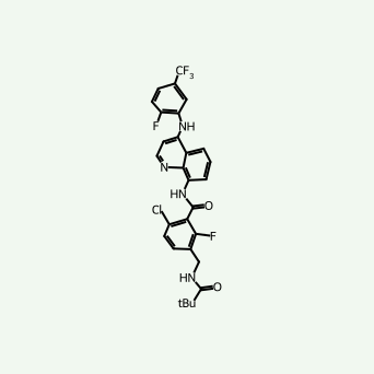 CC(C)(C)C(=O)NCc1ccc(Cl)c(C(=O)Nc2cccc3c(Nc4cc(C(F)(F)F)ccc4F)ccnc23)c1F